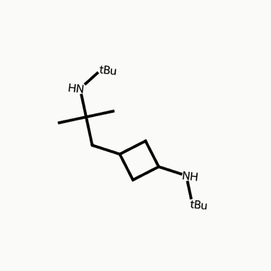 CC(C)(C)NC1CC(CC(C)(C)NC(C)(C)C)C1